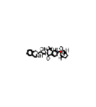 CC1(C)CN(C[C@@H](O)[C@@H]2Cc3ccccc3CN2)C(=O)c2ccc(C(=O)N3[C@@H]4CC[C@H]3C[C@@H](O)C4)cc21